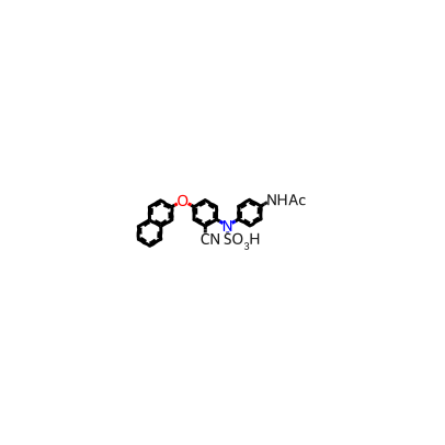 CC(=O)Nc1ccc(N(c2ccc(Oc3ccc4ccccc4c3)cc2C#N)S(=O)(=O)O)cc1